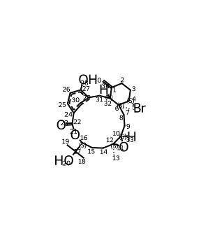 C=C1CC[C@H](Br)[C@@]2(C)CC[C@@H]3O[C@@]3(C)CC[C@@H](C(C)(C)O)OC(=O)c3ccc(O)c(c3)C[C@H]12